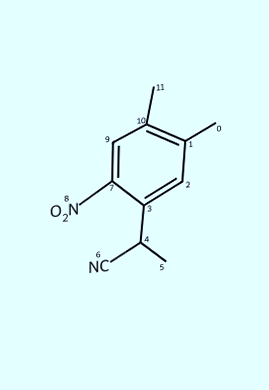 Cc1cc(C(C)C#N)c([N+](=O)[O-])cc1C